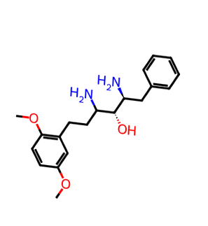 COc1ccc(OC)c(CCC(N)[C@@H](O)[C@@H](N)Cc2ccccc2)c1